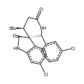 CC(C)(C)[C@H]1CC(=O)NC(c2cccc(Cl)c2)[C@]12C(=O)Nc1cc(Cl)ccc12